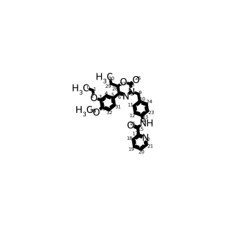 CCOc1cc(C2=NN(Cc3ccc(NC(=O)c4ccccn4)cc3)C(=O)OC2CC)ccc1OC